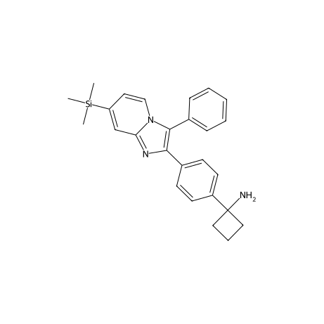 C[Si](C)(C)c1ccn2c(-c3ccccc3)c(-c3ccc(C4(N)CCC4)cc3)nc2c1